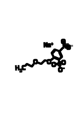 CCCOCCOc1ccc([N+](=O)[O-])cc1S(=O)(=O)[O-].[Na+]